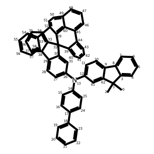 CC1(C)c2ccccc2-c2ccc(N(c3ccc(-c4ccccc4)cc3)c3ccc4c(c3)C3(c5ccccc5-4)c4ccccc4-c4cccc5ccc(-c6ccccc6)c3c45)cc21